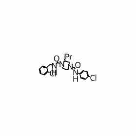 CC(C)C1CN(C(=O)Nc2ccc(Cl)cc2)CCN1C(=O)NCc1ccccc1Cl